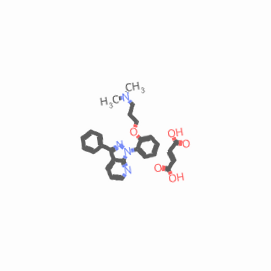 CN(C)CCCOc1ccccc1-n1nc(-c2ccccc2)c2cccnc21.O=C(O)C=CC(=O)O